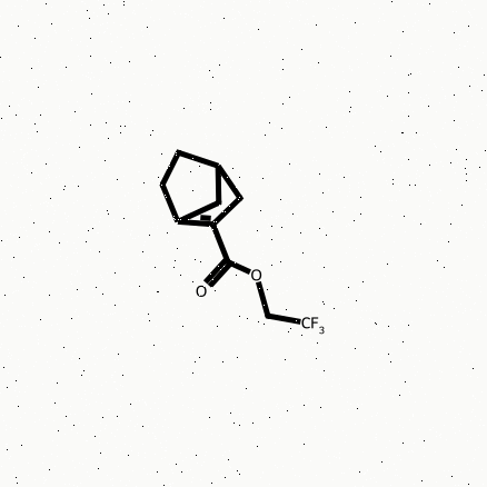 O=C(OCC(F)(F)F)C1=C2CCC(C2)C1